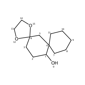 OC1CCC2(CC13CCCCC3)OCCO2